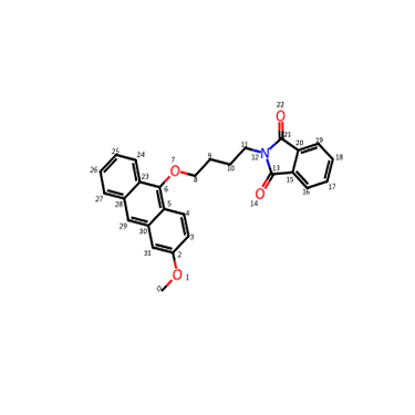 COc1ccc2c(OCCCCN3C(=O)c4ccccc4C3=O)c3ccccc3cc2c1